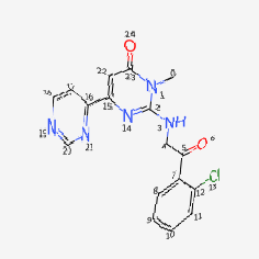 Cn1c(NCC(=O)c2ccccc2Cl)nc(-c2ccncn2)cc1=O